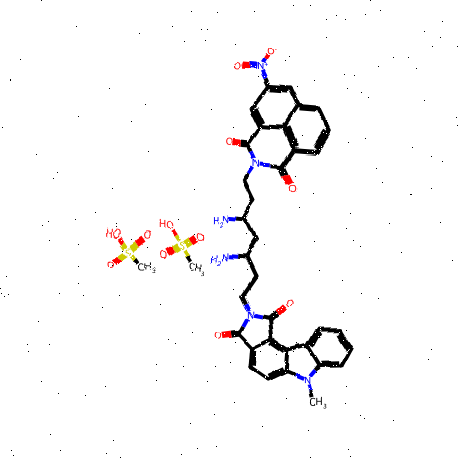 CS(=O)(=O)O.CS(=O)(=O)O.Cn1c2ccccc2c2c3c(ccc21)C(=O)N(CCC(N)CC(N)CCN1C(=O)c2cccc4cc([N+](=O)[O-])cc(c24)C1=O)C3=O